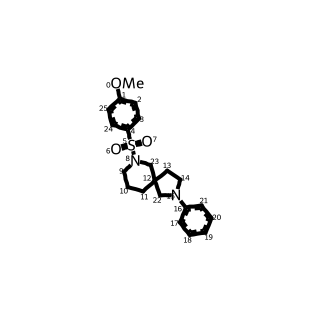 COc1ccc(S(=O)(=O)N2CCCC3(CCN(c4ccccc4)C3)C2)cc1